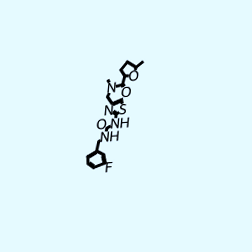 CC1CCC(C(=O)N(C)Cc2csc(NC(=O)NCc3cccc(F)c3)n2)O1